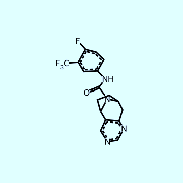 O=C(Nc1ccc(F)c(C(F)(F)F)c1)N1C2CCC1c1cncnc1C2